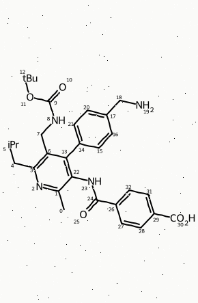 Cc1nc(CC(C)C)c(CNC(=O)OC(C)(C)C)c(-c2ccc(CN)cc2)c1NC(=O)c1ccc(C(=O)O)cc1